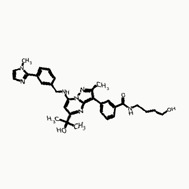 Cc1nn2c(NCc3cccc(-c4nccn4C)c3)cc(C(C)(C)O)nc2c1-c1cccc(C(=O)NCCCCO)c1